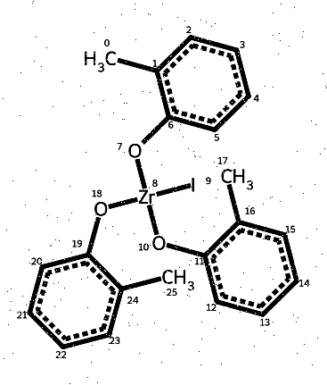 Cc1ccccc1[O][Zr]([I])([O]c1ccccc1C)[O]c1ccccc1C